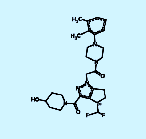 Cc1cccc(N2CCN(C(=O)Cn3nc(C(=O)N4CCC(O)CC4)c4c3CC[C@H]4C(F)F)CC2)c1C